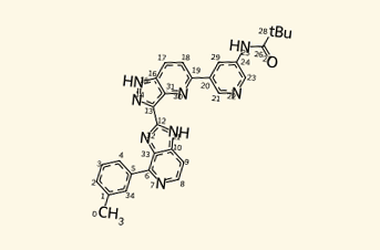 Cc1cccc(-c2nccc3[nH]c(-c4n[nH]c5ccc(-c6cncc(NC(=O)C(C)(C)C)c6)nc45)nc23)c1